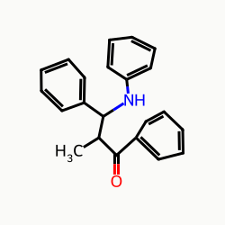 CC(C(=O)c1ccccc1)C(Nc1ccccc1)c1ccccc1